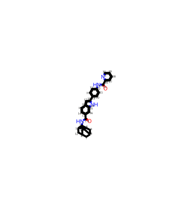 O=C(NC1C2CC3CC(C2)CC1C3)c1ccc2cc(-c3ccc(NC(=O)c4ccccn4)cc3)[nH]c2c1